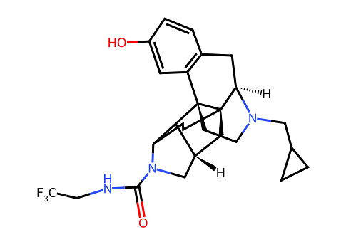 O=C(NCC(F)(F)F)N1C[C@H]2C[C@@]34CCC1C2[C@@]31CCN(CC2CC2)[C@@H]4Cc2ccc(O)cc21